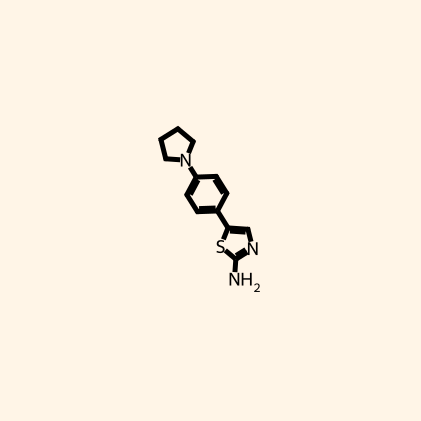 Nc1ncc(-c2ccc(N3CCCC3)cc2)s1